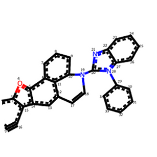 c1ccc2oc3c4cccc5c4c(cc3c2c#1)C=CN5c1nc2ccccc2n1-c1ccccc1